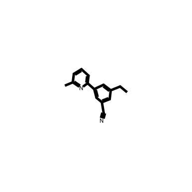 CCc1cc(C#N)cc(-c2cccc(C)n2)c1